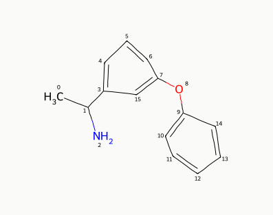 CC(N)c1cccc(Oc2ccccc2)c1